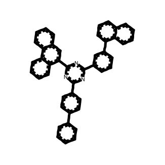 c1ccc(-c2ccc(-c3nc(-c4cccc(-c5cccc6ccccc56)c4)nc(-c4cc5ccccc5c5ccccc45)n3)cc2)cc1